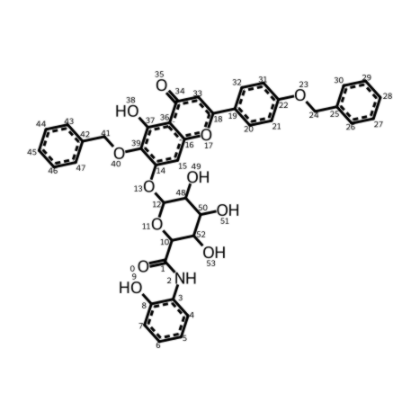 O=C(Nc1ccccc1O)C1OC(Oc2cc3oc(-c4ccc(OCc5ccccc5)cc4)cc(=O)c3c(O)c2OCc2ccccc2)C(O)C(O)C1O